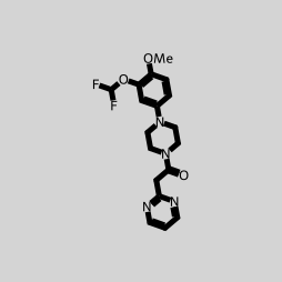 COc1ccc(N2CCN(C(=O)Cc3ncccn3)CC2)cc1OC(F)F